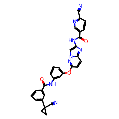 N#Cc1ccc(C(=O)Nc2cn3nc(Oc4cccc(NC(=O)c5cccc(C6(C#N)CC6)c5)c4)ccc3n2)cn1